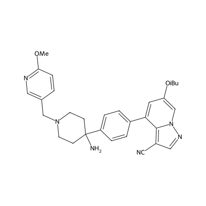 COc1ccc(CN2CCC(N)(c3ccc(-c4cc(OCC(C)C)cn5ncc(C#N)c45)cc3)CC2)cn1